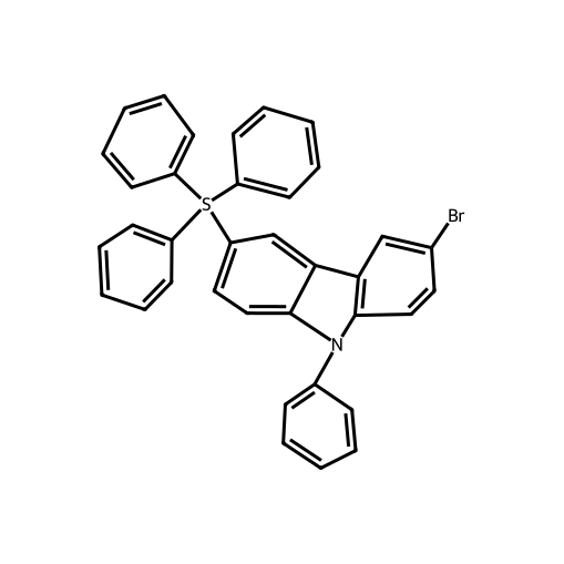 Brc1ccc2c(c1)c1cc(S(c3ccccc3)(c3ccccc3)c3ccccc3)ccc1n2-c1ccccc1